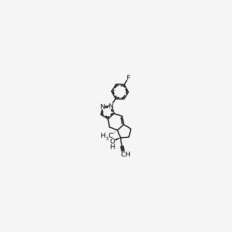 C#C[C@@]1(O)CCC2=Cc3c(cnn3-c3ccc(F)cc3)C[C@@]21C